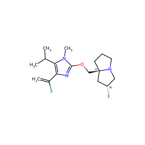 C=C(F)c1nc(OC[C@@]23CCCN2C[C@H](F)C3)n(C)c1C(C)C